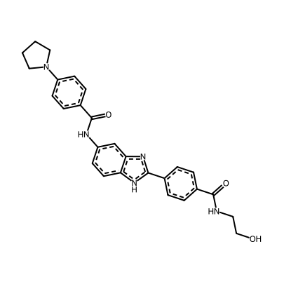 O=C(NCCO)c1ccc(-c2nc3cc(NC(=O)c4ccc(N5CCCC5)cc4)ccc3[nH]2)cc1